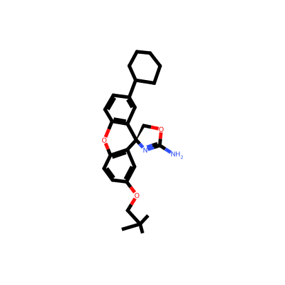 CC(C)(C)COc1ccc2c(c1)[C@]1(COC(N)=N1)c1cc(C3CCCCC3)ccc1O2